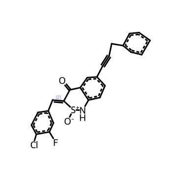 O=C1/C(=C/c2ccc(Cl)c(F)c2)[S+]([O-])Nc2ccc(C#CCc3ccccc3)cc21